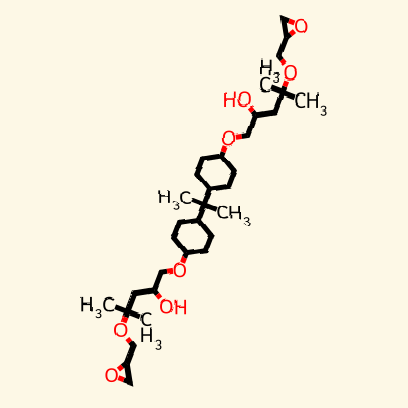 CC(C)(CC(O)COC1CCC(C(C)(C)C2CCC(OCC(O)CC(C)(C)OCC3CO3)CC2)CC1)OCC1CO1